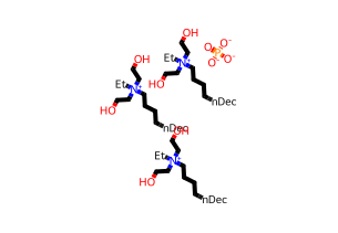 CCCCCCCCCCCCCC[N+](CC)(CCO)CCO.CCCCCCCCCCCCCC[N+](CC)(CCO)CCO.CCCCCCCCCCCCCC[N+](CC)(CCO)CCO.O=P([O-])([O-])[O-]